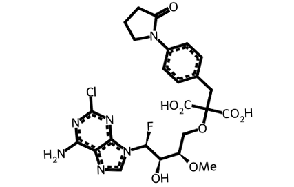 CO[C@H](COC(Cc1ccc(N2CCCC2=O)cc1)(C(=O)O)C(=O)O)[C@@H](O)[C@H](F)n1cnc2c(N)nc(Cl)nc21